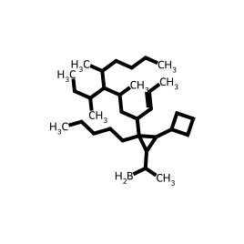 BC(C)C1C(C2CCC2)C1(CCCCC)C(C=CC)CC(C)C(C(C)CC)C(C)CCCC